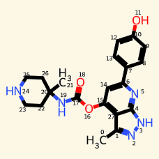 Cc1n[nH]c2nc(-c3ccc(O)cc3)cc(OC(=O)NC3(C)CCNCC3)c12